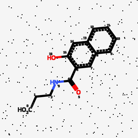 O=C(O)CCNC(=O)c1cc2ccccc2cc1O